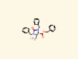 O=C(O)[C@@H]1[C@H](C(=O)OCc2ccccc2)N(Cc2ccccc2)C(=O)N1Cc1ccccc1